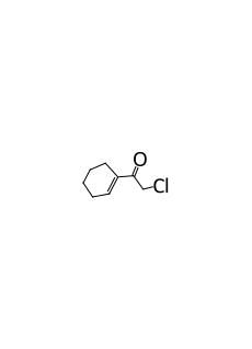 O=C(CCl)C1=CCCCC1